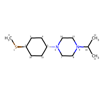 CS[C@H]1CC[C@H](N2CCN(C(C)C)CC2)CC1